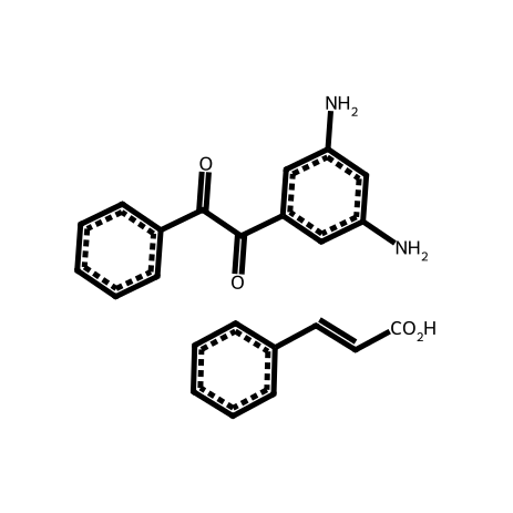 Nc1cc(N)cc(C(=O)C(=O)c2ccccc2)c1.O=C(O)/C=C/c1ccccc1